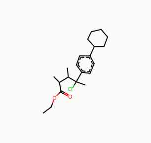 CCOC(=O)C(C)C(C)C(C)(Cl)c1ccc(C2CCCCC2)cc1